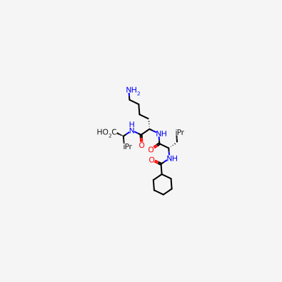 CC(C)C[C@H](NC(=O)C1CCCCC1)C(=O)N[C@@H](CCCCN)C(=O)N[C@H](C(=O)O)C(C)C